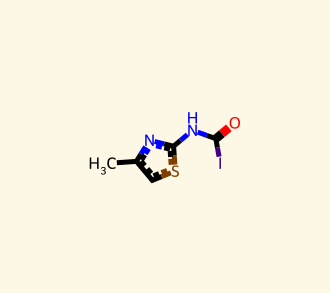 Cc1csc(NC(=O)I)n1